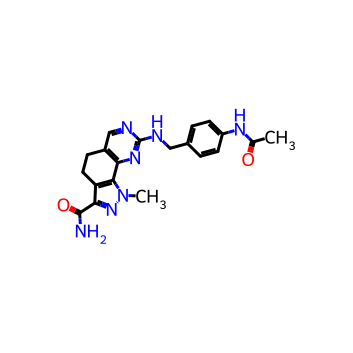 CC(=O)Nc1ccc(CNc2ncc3c(n2)-c2c(c(C(N)=O)nn2C)CC3)cc1